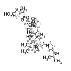 C=C(C)NC1CCN(CC[C@]23CC[C@@H](C(=C)C)[C@@H]2[C@H]2CC[C@@H]4[C@@]5(C)CC[C@H](OC(=O)CC(C)(C)CC(=O)O)C(C)(C)[C@@H]5CC[C@@]4(C)[C@]2(C)CC3)C1